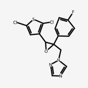 Fc1ccc(C2(Cn3cncn3)OC2c2cc(Cl)sc2Cl)cc1